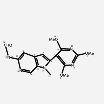 COc1nc(OC)c(-c2cc3cc(NC=O)ncc3n2C)c(OC)n1